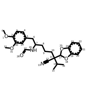 COc1ccc(CC(CCCC(C#N)(C(C)C)C2Oc3ccccc3O2)NC=O)cc1OC